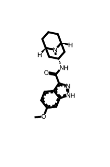 COc1ccc2c(C(=O)N[C@H]3C[C@H]4CCC[C@@H](C3)N4C)n[nH]c2c1